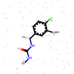 COc1cc([C@@H](C)NC(=O)NC(C)C)ccc1Cl